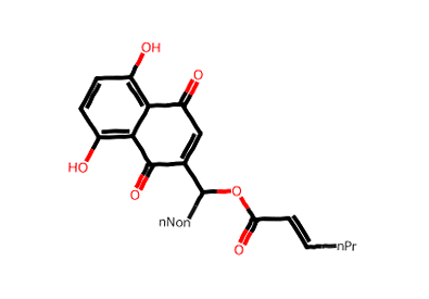 CCCC=CC(=O)OC(CCCCCCCCC)C1=CC(=O)c2c(O)ccc(O)c2C1=O